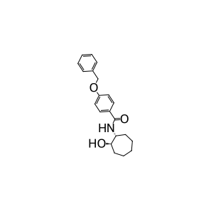 O=C(N[C@@H]1CCCCC[C@H]1O)c1ccc(OCc2ccccc2)cc1